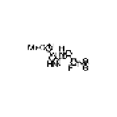 COc1cncc(-c2ccc3[nH]nc(-c4cc5c(-c6cc(F)cc(CNS(C)(=O)=O)c6)cccc5[nH]4)c3n2)c1